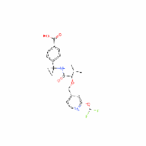 CC(C)C(OCc1ccnc(OC(F)F)c1)C(=O)NC1(c2ccc(C(=O)O)cc2)CC1